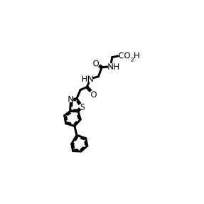 O=C(O)CNC(=O)CNC(=O)Cc1nc2ccc(-c3ccccc3)cc2s1